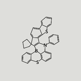 c1ccc(N2C3=C(B4c5ccccc5Sc5cccc2c54)C2(CCCC2)c2ccc4c(sc5ccccc54)c23)cc1